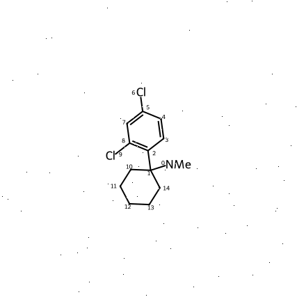 CNC1(c2ccc(Cl)cc2Cl)CCCCC1